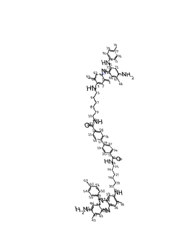 C=C1C=C(NCCCCCCNC(=O)c2ccc(-c3ccc(C(=O)NCCCCCCNc4cc5c(cc4C)nc4cc(C)c(N)cc4[n+]5-c4ccc(C)cc4)cc3)cc2)C(C)=C/C1=N/c1cc(C)c(N)cc1Nc1ccc(C)cc1